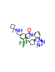 Cn1cnnc1[C@]1(c2ccccc2N2Cc3c(cc(CNC4(C)CCC4)cc3C(F)(F)F)C2=O)CCC(F)(F)C1